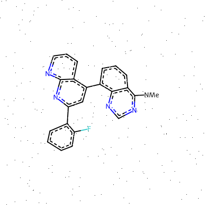 CNc1ncnc2c(-c3cc(-c4ccccc4F)nc4ncccc34)cccc12